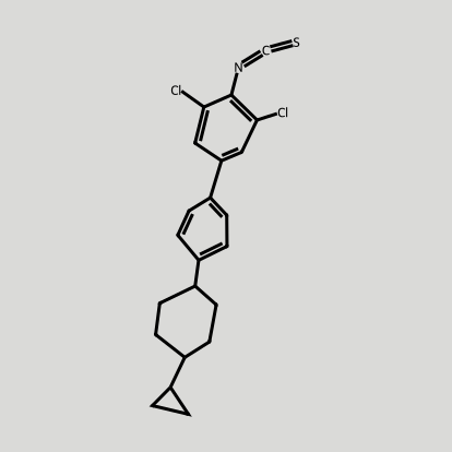 S=C=Nc1c(Cl)cc(-c2ccc(C3CCC(C4CC4)CC3)cc2)cc1Cl